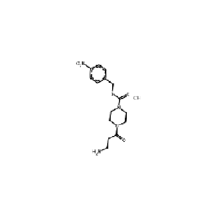 Cl.NCCC(=O)N1CCN(C(=S)SCc2ccc([N+](=O)[O-])cc2)CC1